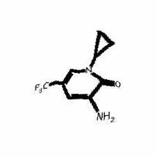 Nc1cc(C(F)(F)F)cn(C2CC2)c1=O